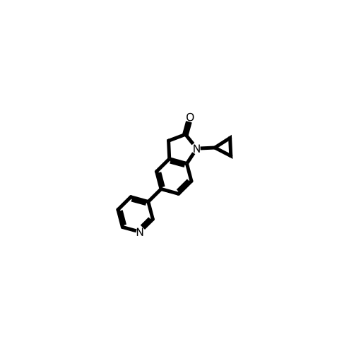 O=C1Cc2cc(-c3cccnc3)ccc2N1C1CC1